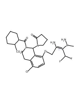 CN(N)/C(=C(\N)COc1ccc(Cl)c2c1C(N1CCCC1=O)N(C(=O)C1CCCCC1C(=O)O)CC2)C(F)F